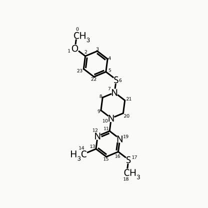 COc1ccc(SN2CCN(c3nc(C)cc(SC)n3)CC2)cc1